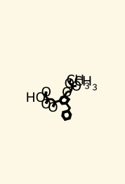 COC(COc1cc(Cc2ccccc2)cc(C(=O)CC(=O)C(=O)O)c1)OC